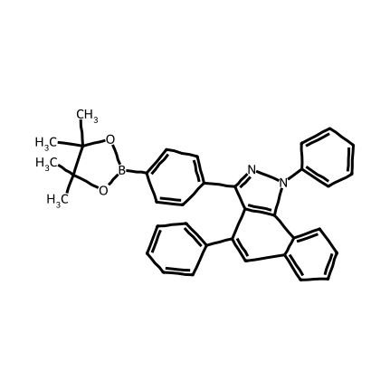 CC1(C)OB(c2ccc(-c3nn(-c4ccccc4)c4c3c(-c3ccccc3)cc3ccccc34)cc2)OC1(C)C